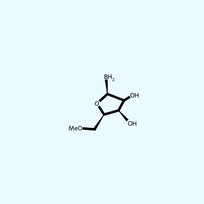 B[C@@H]1O[C@H](COC)[C@H](O)C1O